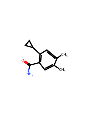 Cc1cc(C(N)=O)c(C2CC2)cc1C